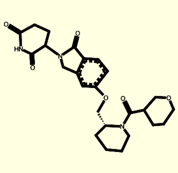 O=C1CCC(N2Cc3cc(OC[C@H]4CCCCN4C(=O)C4CCCOC4)ccc3C2=O)C(=O)N1